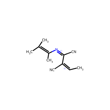 C/C=C(C#N)\C(C#N)=N/C(C)=C(C)C